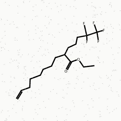 C=CCCCCCCC(CCCC(F)(F)C(F)(F)F)C(=O)OCC